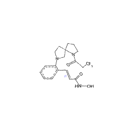 O=C(/C=C/c1ccccc1N1CCC2(CCCN2C(=O)CC(F)(F)F)C1)NO